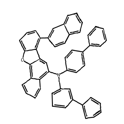 c1ccc(-c2ccc(N(c3cccc(-c4ccccc4)c3)c3cc4c(oc5cccc(-c6ccc7ccccc7c6)c54)c4ccccc34)cc2)cc1